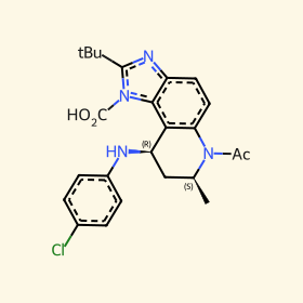 CC(=O)N1c2ccc3nc(C(C)(C)C)n(C(=O)O)c3c2[C@H](Nc2ccc(Cl)cc2)C[C@@H]1C